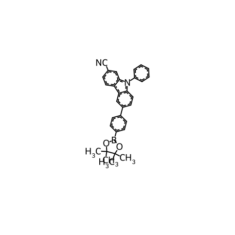 CC1(C)OB(c2ccc(-c3ccc4c(c3)c3ccc(C#N)cc3n4-c3ccccc3)cc2)OC1(C)C